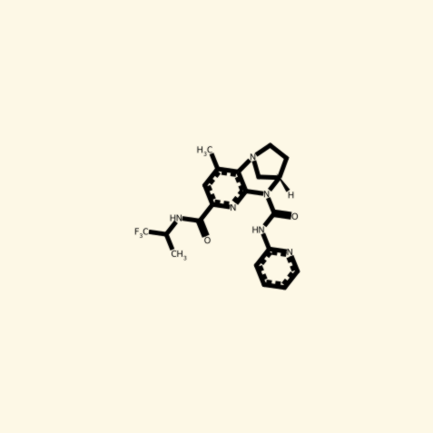 Cc1cc(C(=O)NC(C)C(F)(F)F)nc2c1N1CC[C@@H](C1)N2C(=O)Nc1ccccn1